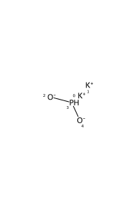 [K+].[K+].[O-]P[O-]